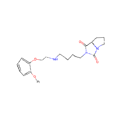 CC(C)Oc1ccccc1OCCNCCCCN1C(=O)C2CCCN2C1=O